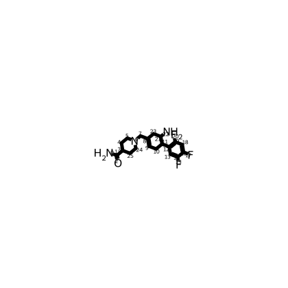 NC(=O)C1CCN(CC2=CCC(c3cc(F)c(F)cc3F)C(N)C2)CC1